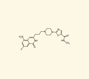 CNC(=O)c1cnc(N2CCN(CCCc3cc4c(N)cc(F)cc4c(=O)[nH]3)CC2)s1